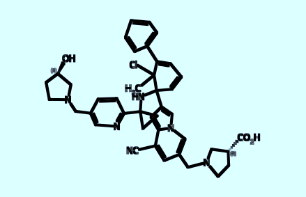 CC1(Cl)C(c2ccccc2)=CC=CC1(NC1(c2ccc(CN3CC[C@@H](O)C3)cn2)CC1)c1cc2c(C#N)cc(CN3CC[C@@H](C(=O)O)C3)cn2c1